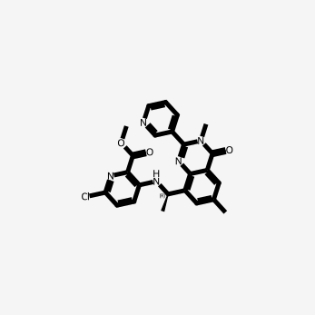 COC(=O)c1nc(Cl)ccc1N[C@H](C)c1cc(C)cc2c(=O)n(C)c(-c3cccnc3)nc12